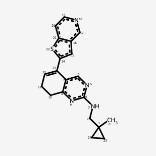 CC1(CNc2ncc3c(n2)CCC=C3c2cc3cnccc3s2)CC1